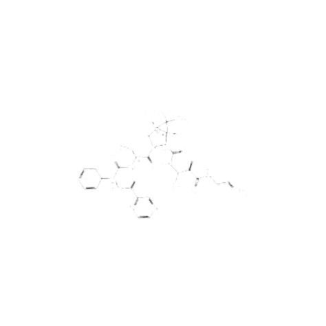 C=CCNC(=O)C(=O)C(CCCC)NC(=O)[C@@H]1[C@@H]2[C@H](CN1C(=O)[C@@H](NC(=O)[C@@H](NC(=O)c1cnccn1)C1C=CC=CC1)C(C)(C)C)C2(C)C